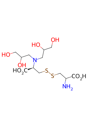 NC(CSSC[C@@H](C(=O)O)N(CC(O)CO)CC(O)CO)C(=O)O